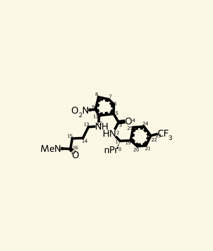 CCC[C@H](NC(=O)c1cccc([N+](=O)[O-])c1NCCCC(=O)NC)c1ccc(C(F)(F)F)cc1